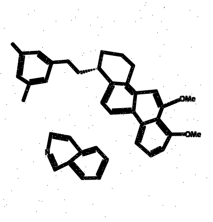 COc1cccc2c1c(OC)cc1c3c(ccc12)[C@H](CCc1cc(C)cc(C)c1)CCC3.c1ccc2cnccc2c1